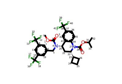 COC(=O)N(Cc1cc(C(F)(F)F)cc(C(F)(F)F)c1)[C@H]1C[C@@H](C2CCC2)N(C(=O)OC(C)C)c2ccc(C(F)(F)F)cc21